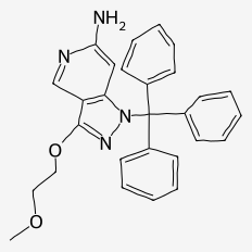 COCCOc1nn(C(c2ccccc2)(c2ccccc2)c2ccccc2)c2cc(N)ncc12